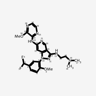 COc1ccc(C(F)F)cc1-n1nc(NCCN(C)C)c2cnc(Nc3nccnc3OC)cc21